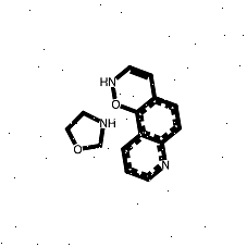 C1=Cc2ccc3ncccc3c2ON1.C1COCN1